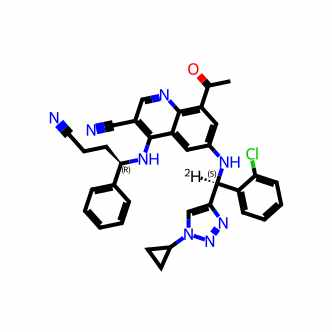 [2H][C@@](Nc1cc(C(C)=O)c2ncc(C#N)c(N[C@H](CCC#N)c3ccccc3)c2c1)(c1cn(C2CC2)nn1)c1ccccc1Cl